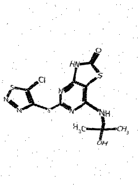 CC(C)(O)Nc1nc(Sc2nnsc2Cl)nc2[nH]c(=O)sc12